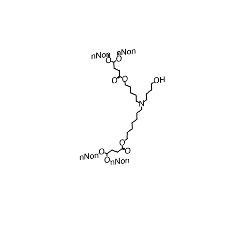 CCCCCCCCCOC(CCC(=O)OCCCCCCCN(CCCCO)CCCCCOC(=O)CCC(OCCCCCCCCC)OCCCCCCCCC)OCCCCCCCCC